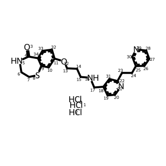 Cl.Cl.Cl.O=C1NCCSc2cc(OCCCNCc3ccnc(CCc4cccnc4)c3)ccc21